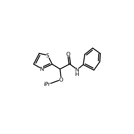 CC(C)OC(C(=O)Nc1ccccc1)c1nccs1